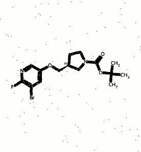 CC(C)(C)OC(=O)N1CC[C@H](COc2cnc(F)c(Br)c2)C1